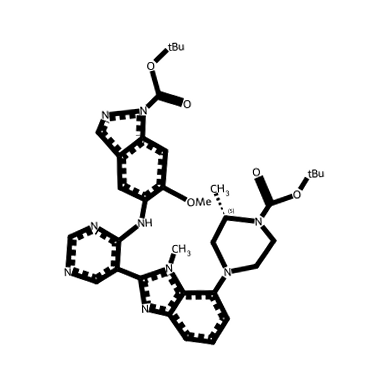 COc1cc2c(cnn2C(=O)OC(C)(C)C)cc1Nc1ncncc1-c1nc2cccc(N3CCN(C(=O)OC(C)(C)C)[C@@H](C)C3)c2n1C